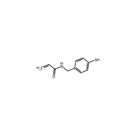 C=CC(=O)NCc1ccc(S)cc1